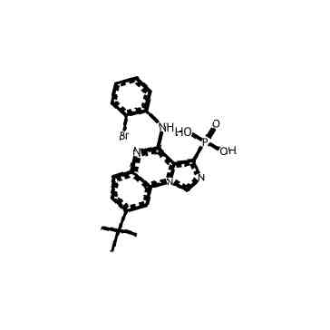 CC(C)(C)c1ccc2nc(Nc3ccccc3Br)c3c(P(=O)(O)O)ncn3c2c1